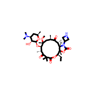 CC[C@H]1OC(=O)C(C)(C)C(=O)[C@H](C)[C@@H](O[C@@H]2O[C@H](C)C[C@H](N(C)C)[C@H]2O)[C@](C)(OC)C[C@@H](C)C(=O)[C@H](C)[C@H]2N(C3CNC3)C(=O)O[C@]12C